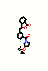 CC(C)(C)[Si](C)(C)OC1CCN(C(=O)c2cc(C=C3OC(=O)c4ccccc43)ccc2F)C1